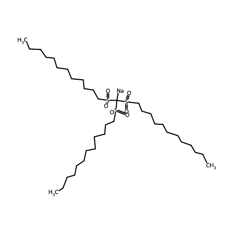 CCCCCCCCCCCCS(=O)(=O)[C]([Na])(S(=O)(=O)CCCCCCCCCCCC)S(=O)(=O)CCCCCCCCCCCC